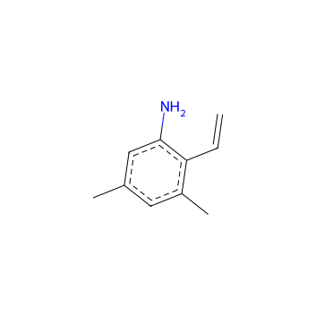 C=Cc1c(C)cc(C)cc1N